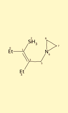 CCC([SiH3])=C(CC)CN1CC1